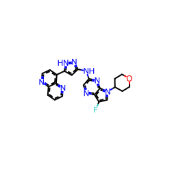 Fc1cn(C2CCOCC2)c2nc(Nc3cc(-c4ccnc5cccnc45)[nH]n3)cnc12